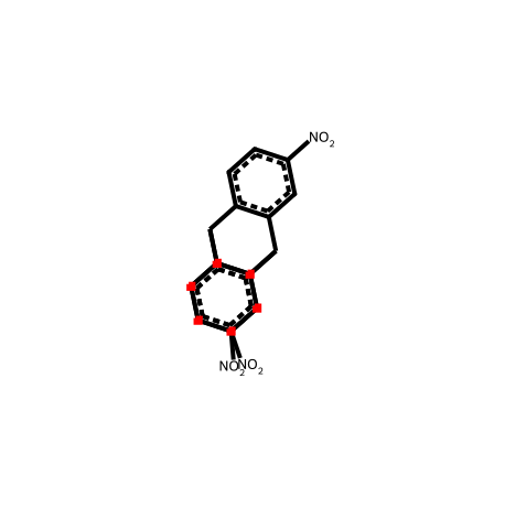 O=[N+]([O-])c1ccc2c(c1)C1c3cc([N+](=O)[O-])ccc3C2c2ccc([N+](=O)[O-])cc21